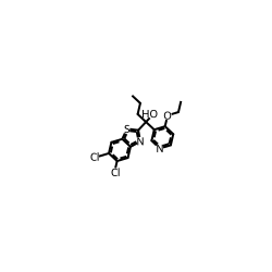 CCCC(O)(c1nc2cc(Cl)c(Cl)cc2s1)c1cnccc1OCC